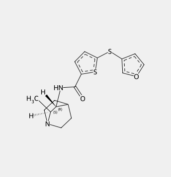 C[C@H]1[C@H](NC(=O)c2ccc(Sc3ccoc3)s2)C2CCN1CC2